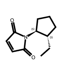 CC[C@H]1CCC[C@@H]1N1C(=O)C=CC1=O